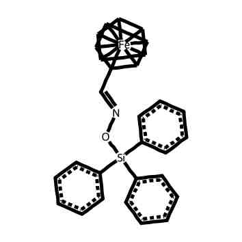 C(=NO[Si](c1ccccc1)(c1ccccc1)c1ccccc1)[C]12[CH]3[CH]4[CH]5[CH]1[Fe]45321678[CH]2[CH]1[CH]6[CH]7[CH]28